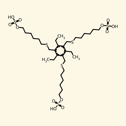 CCc1c(CSCCCCCCOS(=O)(=O)O)c(CC)c(CSCCCCCCOS(=O)(=O)O)c(CC)c1CSCCCCCCOS(=O)(=O)O